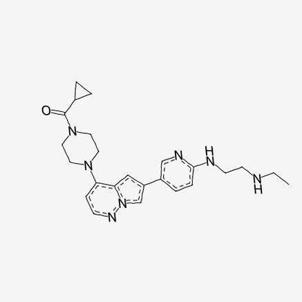 CCNCCNc1ccc(-c2cc3c(N4CCN(C(=O)C5CC5)CC4)ccnn3c2)cn1